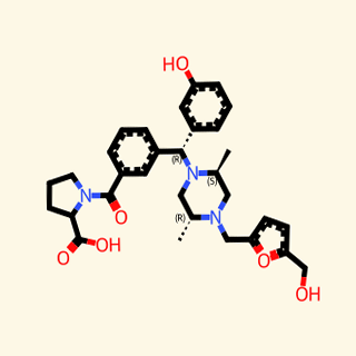 C[C@@H]1CN([C@@H](c2cccc(O)c2)c2cccc(C(=O)N3CCCC3C(=O)O)c2)[C@@H](C)CN1Cc1ccc(CO)o1